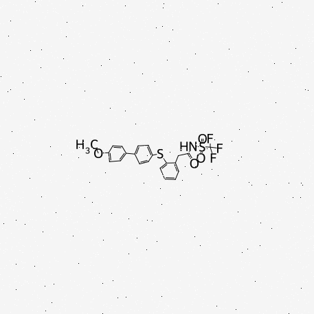 COc1ccc(-c2ccc(Sc3ccccc3CC(=O)NS(=O)(=O)C(F)(F)F)cc2)cc1